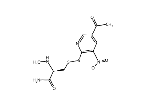 CN[C@@H](CSSc1ncc(C(C)=O)cc1[N+](=O)[O-])C(N)=O